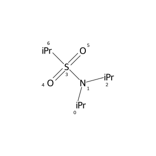 CC(C)N(C(C)C)S(=O)(=O)C(C)C